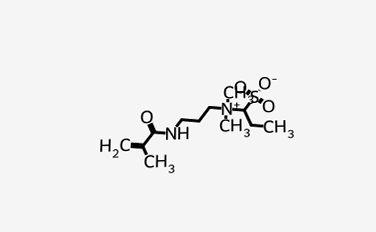 C=C(C)C(=O)NCCC[N+](C)(C)C(CC)S(=O)(=O)[O-]